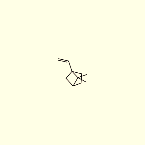 C=CC12CCC(C1)C2(C)C